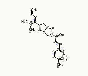 C=C/C=C(/C1=CC2CN(C(=O)/C=C/C(/C=C\C(=C)C)=C/C)CC2C1)N(C)C